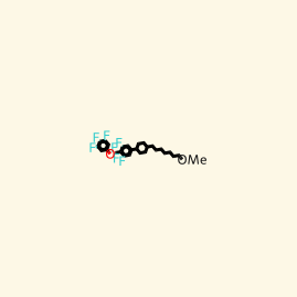 COCCCCCCCC1CCC(c2cc(F)c(C(F)(F)Oc3cc(F)c(F)c(F)c3)c(F)c2)CC1